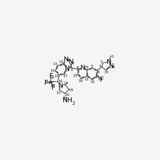 CN1CC(c2cc3nc(-c4nnc5ccc([C@@H](N6CC[C@H](N)C6)C(F)(F)F)cn45)ccc3cc2F)C=N1